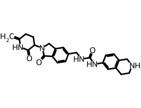 C=C1CCC(N2Cc3cc(CNC(=O)Nc4ccc5c(c4)CCNC5)ccc3C2=O)C(=O)N1